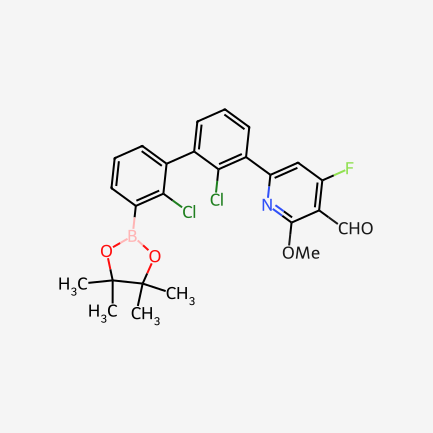 COc1nc(-c2cccc(-c3cccc(B4OC(C)(C)C(C)(C)O4)c3Cl)c2Cl)cc(F)c1C=O